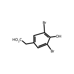 O=C(O)Cc1cc(Br)c(O)c(Br)c1